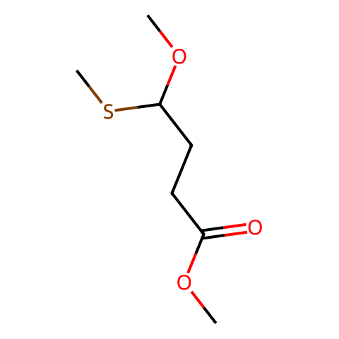 COC(=O)CCC(OC)SC